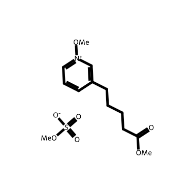 COC(=O)CCCCc1ccc[n+](OC)c1.COS(=O)(=O)[O-]